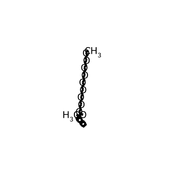 COCCOCCOCCOCCOCCOCCOCCOCCOC(=O)C1(C)CC2CC1C1C3C=CC(C3)C21